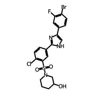 O=S(=O)(c1cc(-c2nc(-c3ccc(Br)c(F)c3)c[nH]2)ccc1Cl)N1CCCC(O)C1